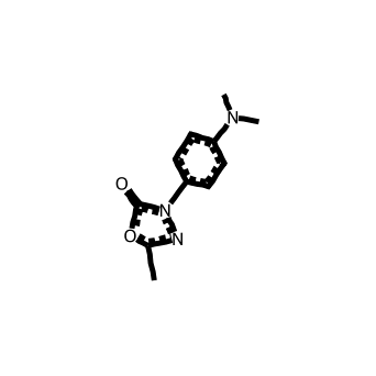 Cc1nn(-c2ccc(N(C)C)cc2)c(=O)o1